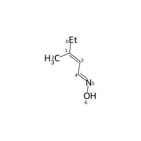 CCC(C)=CC=NO